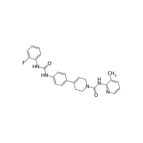 Cc1cccnc1NC(=O)N1CC=C(c2ccc(NC(=O)Nc3ccccc3F)cc2)CC1